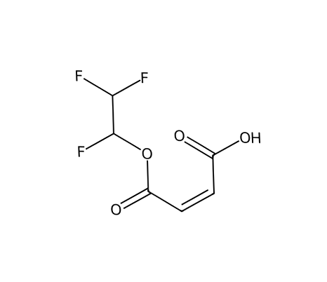 O=C(O)/C=C\C(=O)OC(F)C(F)F